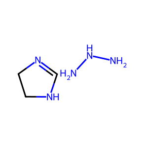 C1=NCCN1.NNN